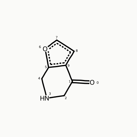 O=C1CNCc2occc21